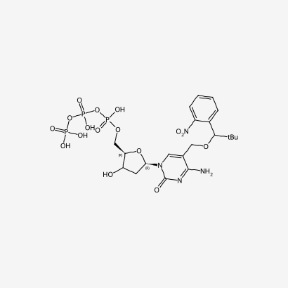 CC(C)(C)C(OCc1cn([C@H]2CC(O)[C@@H](COP(=O)(O)OP(=O)(O)OP(=O)(O)O)O2)c(=O)nc1N)c1ccccc1[N+](=O)[O-]